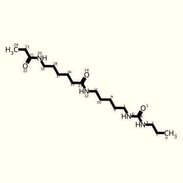 CCCNC(=O)NCCCCCNC(=O)CCCCCNC(=O)CC